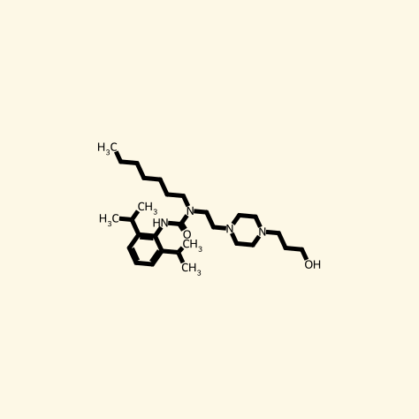 CCCCCCCN(CCN1CCN(CCCO)CC1)C(=O)Nc1c(C(C)C)cccc1C(C)C